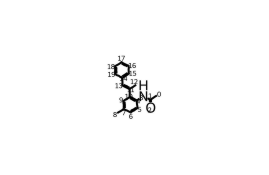 CC(=O)Nc1ccc(C)cc1C(C)=Cc1ccccc1